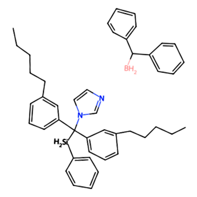 BC(c1ccccc1)c1ccccc1.CCCCCc1cccc(C([SiH2]c2ccccc2)(c2cccc(CCCCC)c2)n2ccnc2)c1